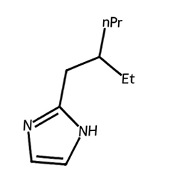 CCCC(CC)Cc1ncc[nH]1